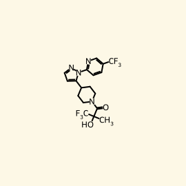 CC(O)(C(=O)N1CCC(c2ccnn2-c2ccc(C(F)(F)F)cn2)CC1)C(F)(F)F